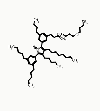 CCCCCCCCC1=C(c2cc(CCCC)cc(CCCC)c2)[N+](=[N-])C(c2cc(CCCCC)cc(CCCCC)c2)=C1CCCCC.CCC[CH2][Pd][CH2]CCC